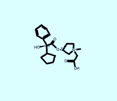 C[N+]1(CC(=O)O)CC[C@@H](OC(=O)[C@@](O)(c2ccccc2)C2CCCC2)C1